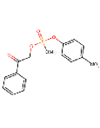 COP(=O)(OCC(=O)c1ccccc1)Oc1ccc([N+](=O)[O-])cc1